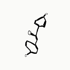 Cl/C(=C\c1ccc(Cl)cc1)c1ccc(Cl)cc1